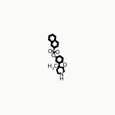 CC12CCNCC1Oc1ccc(OS(=O)(=O)c3ccc4ccccc4c3)cc12